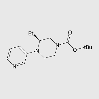 CC[C@H]1CN(C(=O)OC(C)(C)C)CCN1c1cccnc1